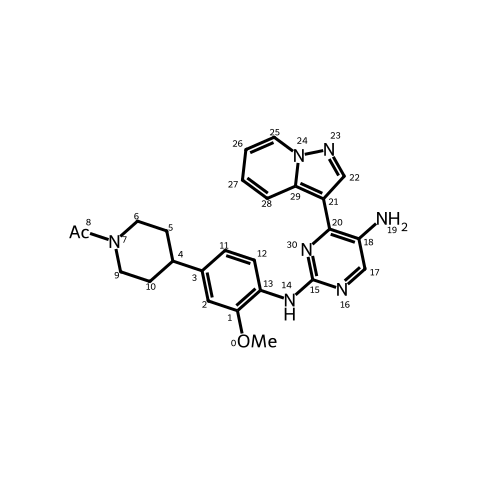 COc1cc(C2CCN(C(C)=O)CC2)ccc1Nc1ncc(N)c(-c2cnn3ccccc23)n1